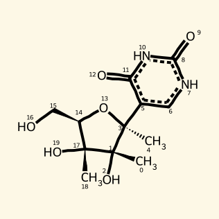 C[C@]1(O)[C@](C)(c2c[nH]c(=O)[nH]c2=O)O[C@H](CO)[C@@]1(C)O